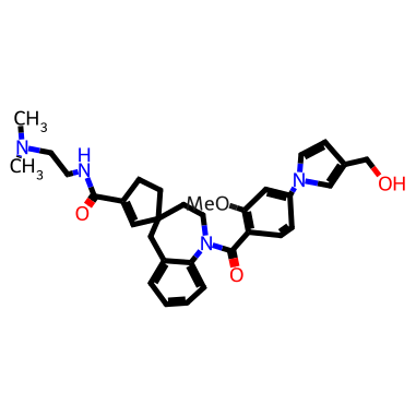 COc1cc(-n2ccc(CO)c2)ccc1C(=O)N1CCC2(C=C(C(=O)NCCN(C)C)CC2)Cc2ccccc21